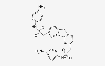 Nc1ccc(NS(=O)(=O)Cc2ccc3c(c2)-c2cc(CS(=O)(=O)Nc4ccc(N)cc4)ccc2C3)cc1